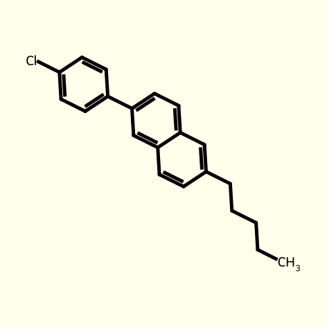 CCCCCc1ccc2cc(-c3ccc(Cl)cc3)ccc2c1